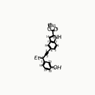 CCC(C#Cc1ccc2[nH]c(C(=O)OC(C)(C)C)cc2c1)c1cccc(O)c1